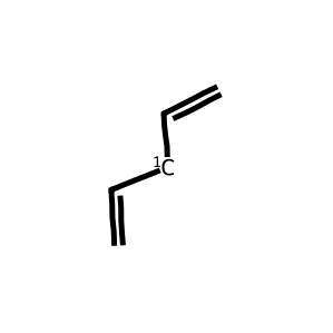 C=C[1CH2]C=C